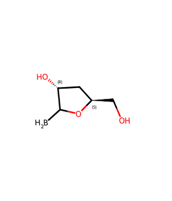 BC1O[C@H](CO)C[C@H]1O